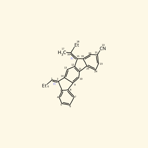 CC/C=C1\c2ccccc2-c2cc3c(cc21)/C(=C(\C)CC)c1cc(C#N)ccc1-3